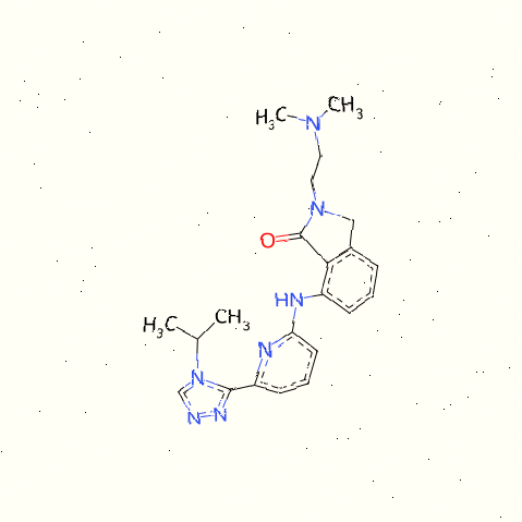 CC(C)n1cnnc1-c1cccc(Nc2cccc3c2C(=O)N(CCN(C)C)C3)n1